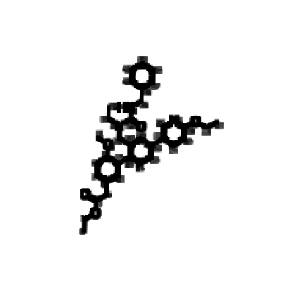 CCOC(=O)Cc1ccc(OC)c(-c2ccc(-c3ccc(OCC)nc3)cc2CN(CC)C(=O)NCc2ccccc2)c1